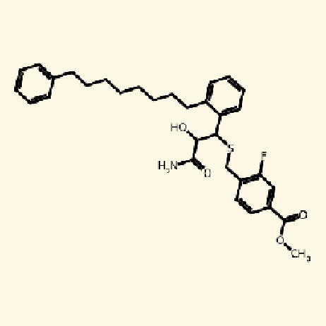 COC(=O)c1ccc(CSC(c2ccccc2CCCCCCCCc2ccccc2)C(O)C(N)=O)c(F)c1